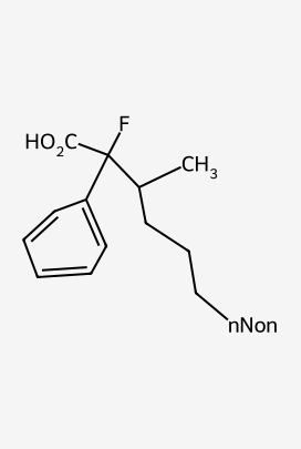 CCCCCCCCCCCCC(C)C(F)(C(=O)O)c1ccccc1